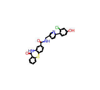 O=C(NCc1ccc(-c2ccc(O)cc2Cl)nc1)c1ccc2c(c1)NC(=O)c1ccccc1S2